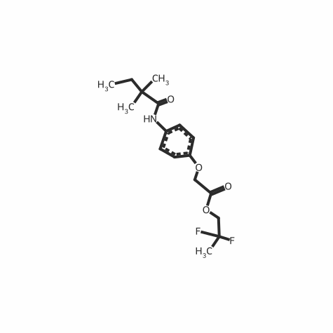 CCC(C)(C)C(=O)Nc1ccc(OCC(=O)OCC(C)(F)F)cc1